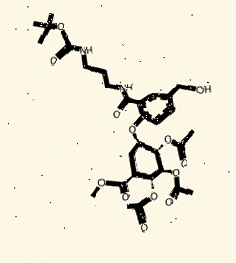 COC(=O)[C@H]1C[C@@H](Oc2ccc(CO)cc2C(=O)NCCCNC(=O)OC(C)(C)C)[C@H](OC(C)=O)[C@@H](OC(C)=O)[C@@H]1OC(C)=O